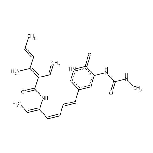 C=C/C(C(=O)NC(/C=C\C=C\c1c[nH]c(=O)c(NC(=O)NC)c1)=C\C)=C(N)\C=C\C